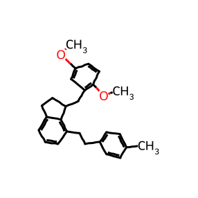 COc1ccc(OC)c(CC2CCc3cccc(CCc4ccc(C)cc4)c32)c1